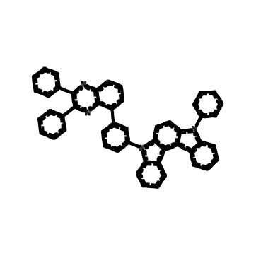 c1ccc(-c2nc3cccc(-c4cccc(-n5c6ccccc6c6c7c8ccccc8n(-c8ccccc8)c7ccc65)c4)c3nc2-c2ccccc2)cc1